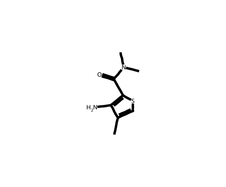 Cc1csc(C(=O)N(C)C)c1N